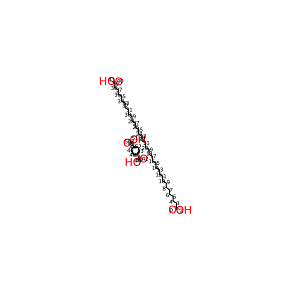 O=C(O)CCCCCCCCCCCCCCCCCCCCCCCCCCCCCCCCCCCCC(=O)O.O=C(O)c1ccc(C(=O)O)cc1